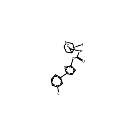 O=C(N[C@H]1CN2CCC1CC2)Oc1ccc(-c2cccc(Cl)c2)s1